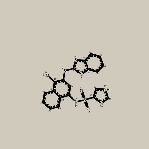 O=S(=O)(Nc1cc(Sc2nc3ccccc3s2)c(O)c2ccccc12)c1c[nH]cn1